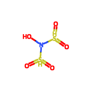 O=[SH](=O)N(O)[SH](=O)=O